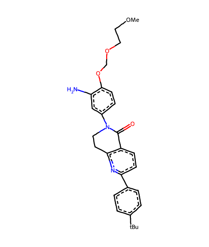 COCCOCOc1ccc(N2CCc3nc(-c4ccc(C(C)(C)C)cc4)ccc3C2=O)cc1N